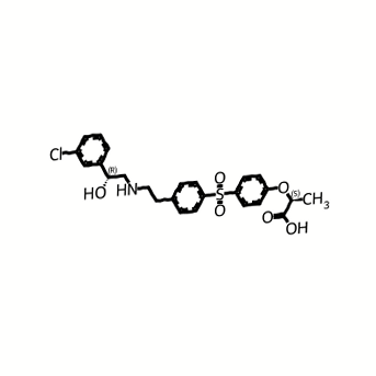 C[C@H](Oc1ccc(S(=O)(=O)c2ccc(CCNC[C@H](O)c3cccc(Cl)c3)cc2)cc1)C(=O)O